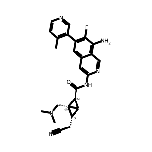 Cc1ccncc1-c1cc2cc(NC(=O)[C@H]3C4[C@H](CC#N)[C@]43CN(C)C)ncc2c(N)c1F